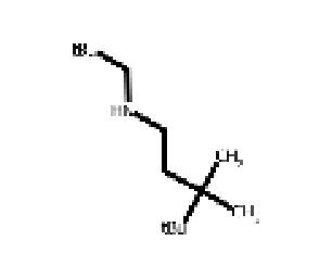 CC(C)(C)CNCCC(C)(C)C(C)(C)C